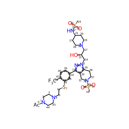 CC(=O)N1CCN(CCSc2cc(-c3nn(CC(O)CN4CCC(NS(C)(=O)=O)CC4)c4c3CN(S(C)(=O)=O)CC4)ccc2C(F)(F)F)CC1